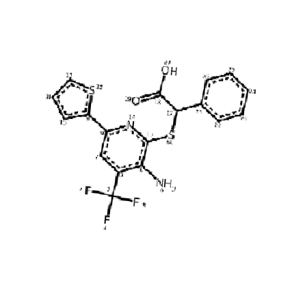 Nc1c(C(F)(F)F)cc(-c2cccs2)nc1SC(C(=O)O)c1ccccc1